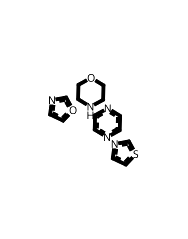 C1COCCN1.c1cnccn1.c1cocn1.c1cscn1